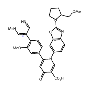 CN/C=C(\C=N)c1ccc(-c2cc(=O)c(C(=O)O)cn2-c2ccc3nc(N4CCCC4COC)oc3c2)cc1OC